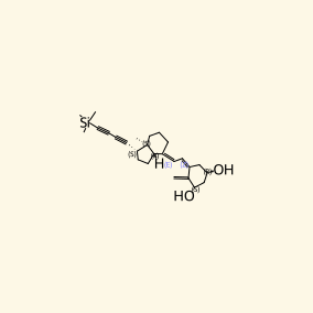 C=C1/C(=C\C=C2/CCC[C@]3(C)[C@@H](C#CC#C[Si](C)(C)C)CC[C@@H]23)C[C@@H](O)C[C@@H]1O